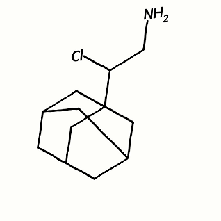 NCC(Cl)C12CC3CC(CC(C3)C1)C2